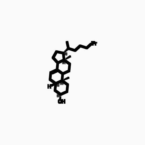 CC(C)CCCC(C)[C@H]1CCC2C3=CC[C@H]4C[C@@H](O)CC[C@]4(C)C3CC[C@@]21C